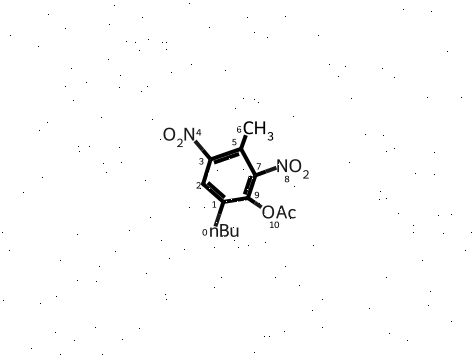 CCCCc1cc([N+](=O)[O-])c(C)c([N+](=O)[O-])c1OC(C)=O